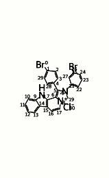 Brc1ccc(-c2c3c4[nH]c5ccccc5c4cc[n+]3cn2-c2cccc(Br)c2)cc1.[Cl-]